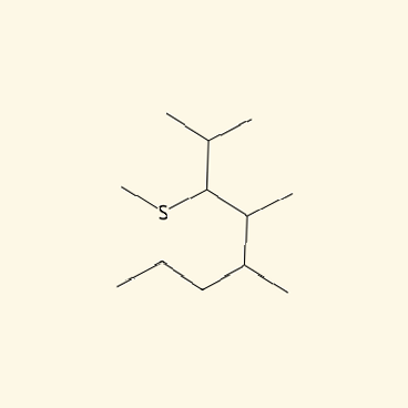 CCCC(C)C(C)C(SC)C(C)C